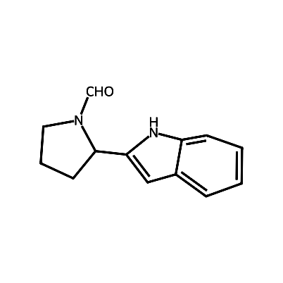 O=CN1CCCC1c1cc2ccccc2[nH]1